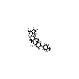 C=CC[C@@]1(c2cccs2)CCN([C@@H](C)c2ccc(-c3ccc(F)cc3)cc2)C(=O)C1